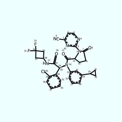 N#Cc1ccnc(N2C(=O)CCC2C(=O)N(c2cccc(C3CC3)c2)[C@H](C(=O)NC2CC(F)(F)C2)c2ccccc2Cl)n1